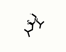 [CH2]CN(C(=S)CC(C)C)C(C)C